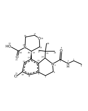 CCNC(=O)N1CCc2cc(Cl)cc([C@@H]3COCCN3C(=O)O)c2C1C(C)(C)C